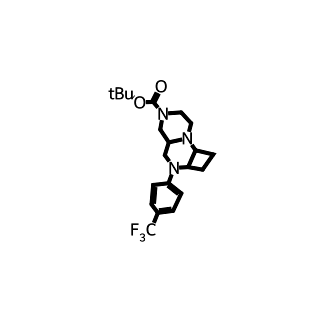 CC(C)(C)OC(=O)N1CCN2C(C1)CN(c1ccc(C(F)(F)F)cc1)C1CCC12